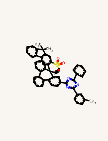 Cc1cccc(-c2nc(-c3ccccc3)nc(-c3ccc4c(c3)C3(c5ccccc5-c5ccccc5-4)c4ccccc4S(=O)(=O)c4cc5c(cc43)-c3ccccc3C5(C)C)n2)c1